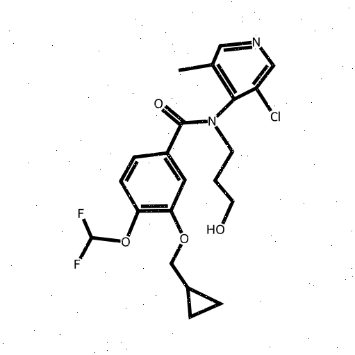 Cc1cncc(Cl)c1N(CCCO)C(=O)c1ccc(OC(F)F)c(OCC2CC2)c1